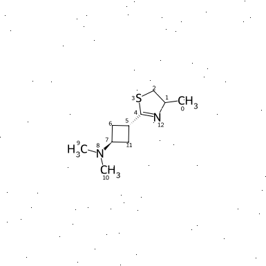 CC1CSC([C@H]2C[C@H](N(C)C)C2)=N1